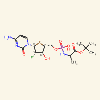 CC(NP(=O)(O)OC[C@H]1S[C@@H](n2ccc(N)nc2=O)[C@@H](F)[C@@H]1O)C(=O)OC(C)(C)C